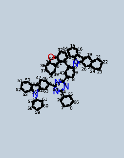 c1ccc(-c2nc(-c3ccc(-n4c5ccccc5c5cc6ccccc6cc54)c(-c4cccc5oc6ccccc6c45)c3)nc(-c3ccc4c5ccccc5n(-c5ccccc5)c4c3)n2)cc1